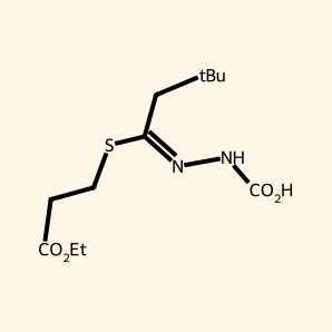 CCOC(=O)CCSC(CC(C)(C)C)=NNC(=O)O